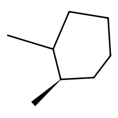 CC1CCCC[C@H]1C